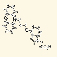 O=C(O)Cn1ccc2c(OCCCN3c4ccccc4Oc4ccccc43)cccc21